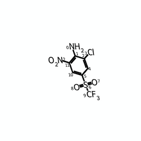 Nc1c(Cl)cc(S(=O)(=O)C(F)(F)F)cc1[N+](=O)[O-]